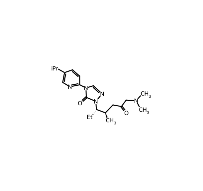 CC[C@@H]([C@H](C)CC(=O)CN(C)C)n1ncn(-c2ccc(C(C)C)cn2)c1=O